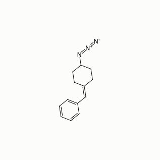 [N-]=[N+]=NC1CCC(=Cc2ccccc2)CC1